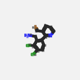 NCc1c(-c2ncccc2C=S)ccc(Cl)c1Cl